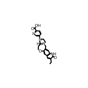 CCc1cc2cc3c(cc2[nH]c1=O)CN1CCN(c2ccc(C(=O)O)nc2)C[C@H]1CCO3